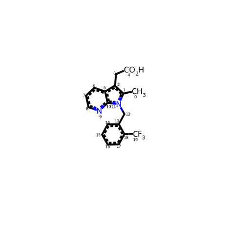 Cc1c(CC(=O)O)c2cccnc2n1Cc1ccccc1C(F)(F)F